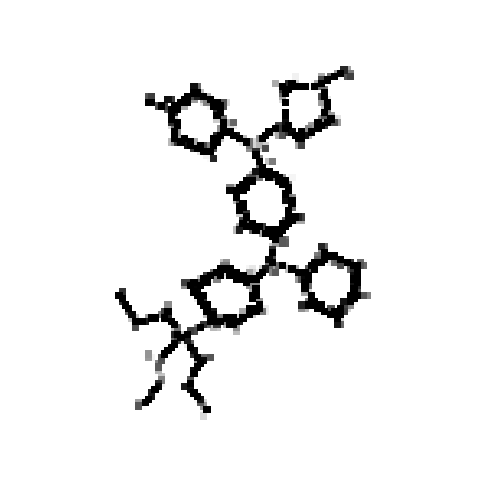 CCO[Si](OCC)(OCC)c1ccc(N(c2ccccc2)c2ccc(N(c3ccc(C)cc3)c3ccc(C)cc3)cc2)cc1